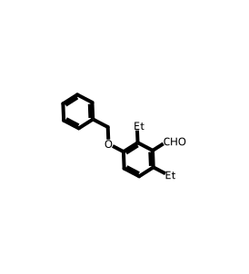 CCc1ccc(OCc2ccccc2)c(CC)c1C=O